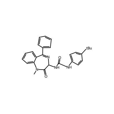 CN1C(=O)C(NC(=O)Nc2ccc(C(C)(C)C)cc2)N=C(c2ccccc2)c2ccccc21